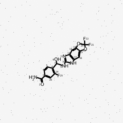 NC(=O)c1ccc(C(O)Nc2nc3cc4c(cc3[nH]2)OC(F)(F)O4)c(F)c1